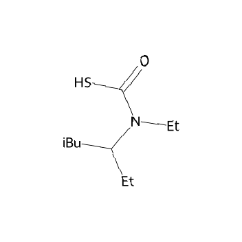 CCC(C)C(CC)N(CC)C(=O)S